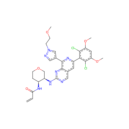 C=CC(=O)N[C@H]1CCOC[C@H]1Nc1ncc2cc(-c3c(Cl)c(OC)cc(OC)c3Cl)nc(-c3cnn(CCOC)c3)c2n1